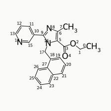 CCOC(=O)c1c(C)nc(-c2cccnc2)n1Cc1cccc2ccccc12